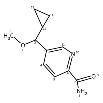 COC(c1ccc(C(N)=O)nc1)C1CC1